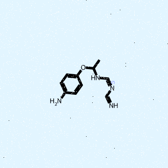 CC(N/C=N\C=N)Oc1ccc(N)cc1